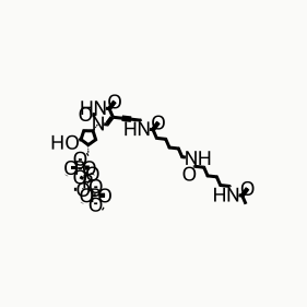 COP(=O)(OC)OP(=O)(OC)OP(=O)(OC)OC[C@H]1C[C@@H](n2cc(C#CCNC(=O)CCCCCNC(=O)CCCCCNC(C)=O)c(=O)[nH]c2=O)CC1O